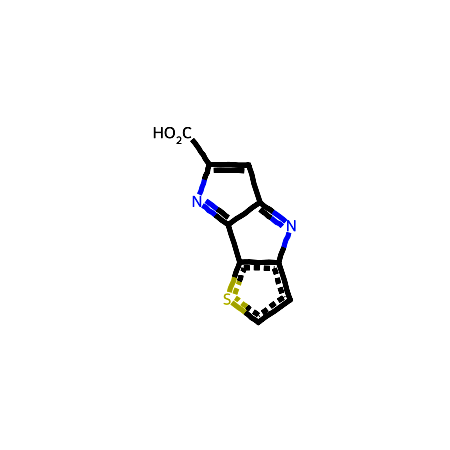 O=C(O)C1=CC2=Nc3ccsc3C2=N1